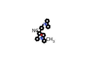 Cc1cccc2c1c1ccccc1n2-c1ccccc1-c1ccc(-c2ccc(Cn3c4ccccc4c4ccccc43)cc2)c(C#N)c1